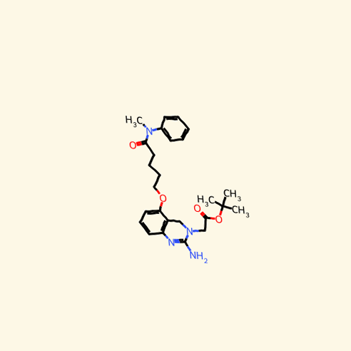 CN(C(=O)CCCCOc1cccc2c1CN(CC(=O)OC(C)(C)C)C(N)=N2)c1ccccc1